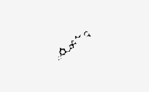 CS(=O)(=O)c1cc(F)cc(CC2CC3(C2)CN(C(=O)CC[C@@H]2COC(=O)N2)C3)c1